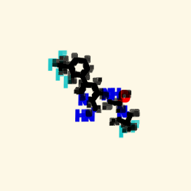 N=Cc1ncc(-c2cccc(C(F)(F)F)c2F)cc1NCC(=O)N1CC(F)(F)C1